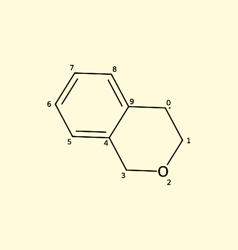 [CH]1COCc2ccccc21